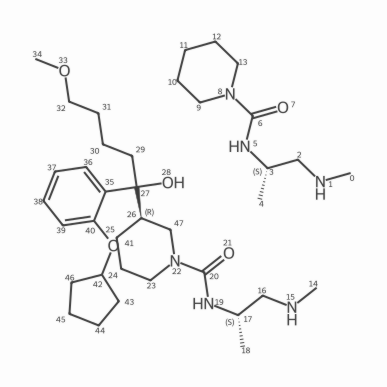 CNC[C@H](C)NC(=O)N1CCCCC1.CNC[C@H](C)NC(=O)N1CCC[C@@H](C(O)(CCCCOC)c2ccccc2OC2CCCC2)C1